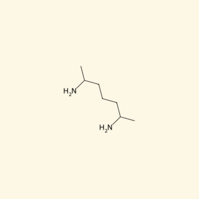 CC(N)CCCC(C)N